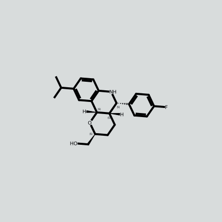 CC(C)c1ccc2c(c1)[C@H]1O[C@H](CO)CC[C@H]1[C@@H](c1ccc(F)cc1)N2